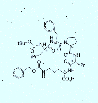 CC(C)C[C@H](NC(=O)OC(C)(C)C)C(=O)N[C@H](Cc1ccccc1)C(=O)N1CCC[C@H]1C(=O)N[C@H](C(=O)N[C@@H](CCCNC(=O)OCc1ccccc1)C(=O)O)C(C)C